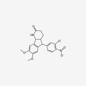 COc1cc2c(cc1OC)C(c1ccc([N+](=O)[O-])c(Cl)c1)C1CCC(=O)NC21